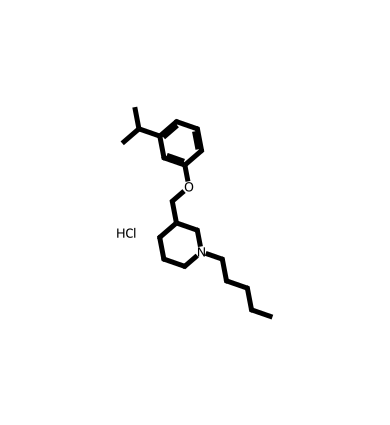 CCCCCN1CCCC(COc2cccc(C(C)C)c2)C1.Cl